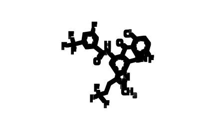 Cn1nc2c(C#N)c(C(=O)c3cc(F)ccc3Cl)c(NC(=O)c3cc(F)cc(C(F)(F)F)c3)cc2c1CCC(F)(F)F